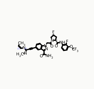 C=N/C(C#Cc1ccc2c(c1)c(C(N)=O)nn2CC(=O)N1C[C@H](F)C[C@H]1C(=O)Nc1cccc(OC(F)(F)F)c1F)=N\C=C/C